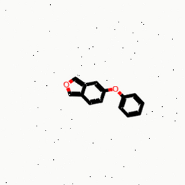 c1ccc(Oc2ccc3cocc3c2)cc1